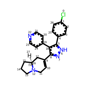 Clc1ccc(-c2[nH]nc(C3=CCN4CCC[C@H]4C3)c2-c2ccncc2)cc1